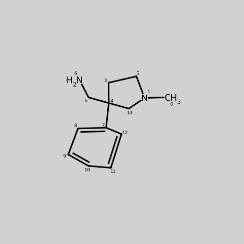 CN1CCC(CN)(c2ccccc2)C1